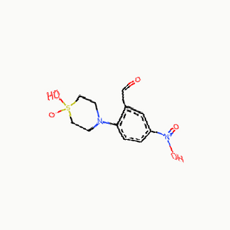 O=Cc1cc([N+](=O)O)ccc1N1CCS([O-])(O)CC1